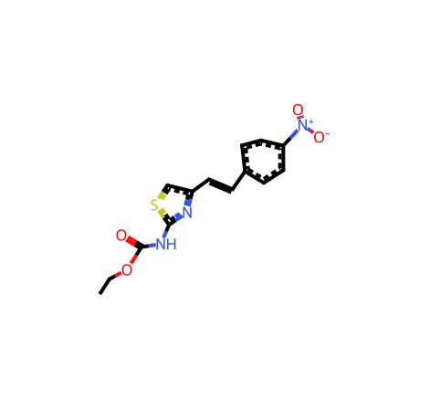 CCOC(=O)Nc1nc(C=Cc2ccc([N+](=O)[O-])cc2)cs1